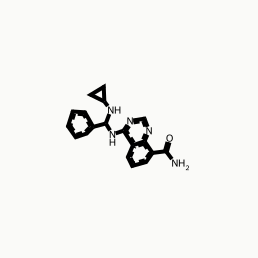 NC(=O)c1cccc2c(NC(NC3CC3)c3ccccc3)ncnc12